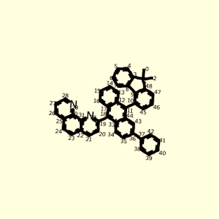 CC1(C)c2ccccc2-c2c(-c3c4ccccc4c(-c4ccc5ccc6cccnc6c5n4)c4ccc(-c5ccccc5)cc34)cccc21